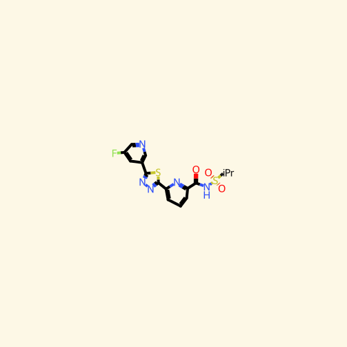 CC(C)S(=O)(=O)NC(=O)c1cccc(-c2nnc(-c3cncc(F)c3)s2)n1